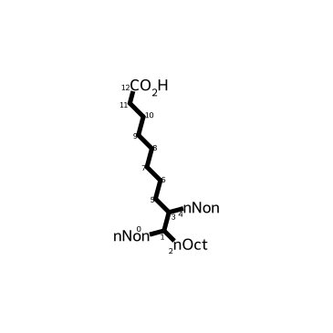 CCCCCCCCCC(CCCCCCCC)C(CCCCCCCCC)CCCCCCCC(=O)O